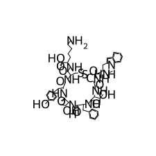 CNC(Cc1cc2ccccc2[nH]1)C(=O)NC1CSSCC(C(=O)NC(CCCCN)C(=O)O)NC(=O)C(Cc2ccc(O)cc2)NC(=O)C(C(C)O)NC(=O)C(Cc2ccccc2)NC(=O)C(C(C)O)NC1=O